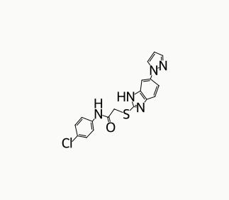 O=C(CSc1nc2ccc(-n3cccn3)cc2[nH]1)Nc1ccc(Cl)cc1